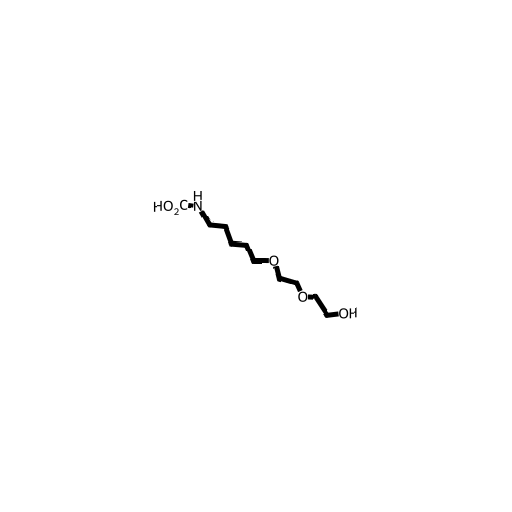 O=C(O)NCCCCCOCCOCCO